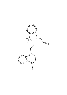 C=CCC1c2ccccc2C(C)(C)C1CCC1=c2ccccc2=C(I)CC1